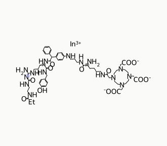 CCC(=O)NCCNC(=O)/N=C(/N)NCCC[C@@H](NC(=O)C(c1ccccc1)c1ccc(NCCCNC(=O)[C@H](N)CCCCNC(=O)CN2CCN(CC(=O)[O-])CCN(CC(=O)[O-])CCN(CC(=O)[O-])CC2)cc1)C(=O)NCc1ccc(O)cc1.[In+3]